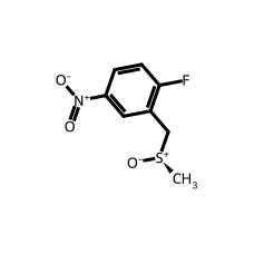 C[S@@+]([O-])Cc1cc([N+](=O)[O-])ccc1F